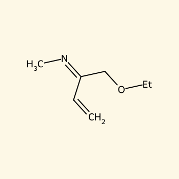 C=C/C(COCC)=N\C